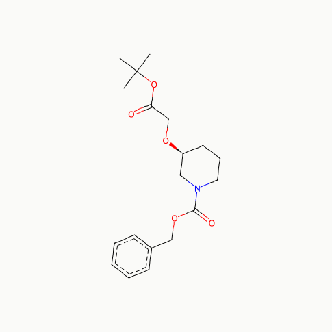 CC(C)(C)OC(=O)CO[C@H]1CCCN(C(=O)OCc2ccccc2)C1